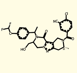 CC(c1ccc(OC(F)F)cc1)N1C(=O)c2c3c(nn2CC1CO)C[C@@H](C)N(C(=O)c1ccc(Cl)c(C#N)c1)C3